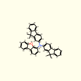 CC1(C)c2ccccc2-c2ccc(N(c3ccc4c(c3)C(C)(C)c3ccccc3-4)c3cccc4c3oc3ccccc34)cc21